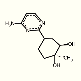 C[C@]1(O)CCC(c2nccc(N)n2)C[C@H]1O